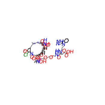 CNN(C)Cc1cc2ccccc2n1CCC(=O)N[C@@H](CCC(=O)O)C(=O)NCCOCCOCCP(=O)(O)N(C)[C@@H](C)C(=O)O[C@H]1CC(=O)N(C)c2cc(cc(OC)c2Cl)C/C(C)=C/C=C/[C@@H](OC)[C@@]2(O)C[C@H](OC(=O)N2)[C@@H](C)[C@@H]2O[C@]12C